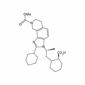 COC(=O)N1CCc2ccc3c(nc(C4CCCCC4)n3[C@@H](C)CC3CCCC[C@@H]3C(=O)O)c2C1